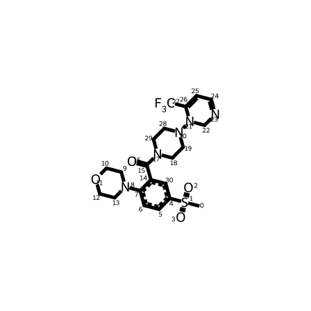 CS(=O)(=O)c1ccc(N2CCOCC2)c(C(=O)N2CCN(N3CN=CC=C3C(F)(F)F)CC2)c1